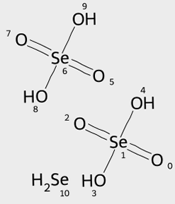 O=[Se](=O)(O)O.O=[Se](=O)(O)O.[SeH2]